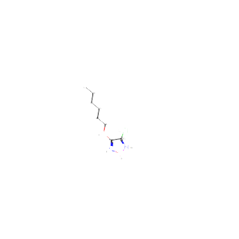 CCCCCCOc1nonc1Cl